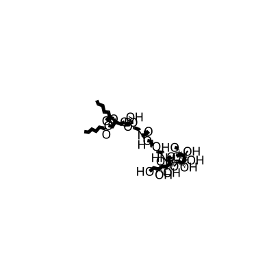 CCCCCC(=O)OCC(COP(=O)(O)OCCNC(=O)OCCOCCNC(=O)[C@@H](O[C@H]1O[C@H](CO)[C@@H](O)[C@H](O)[C@@H]1O)[C@@H](O)[C@H](O)[C@H](O)CO)OC(=O)CCCCC